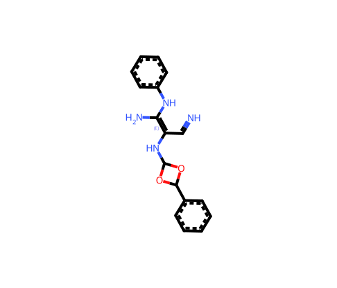 N=C/C(NC1OC(c2ccccc2)O1)=C(/N)Nc1ccccc1